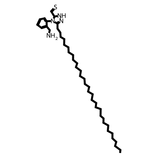 CCCCCCCCCCCCCCCCCCCCCCCCCCCCCCCCCC1=NNC(C=S)N1c1ccccc1CN